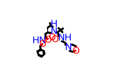 CC(C)C[C@H](CC(=O)NOCc1ccccc1)C(=O)N[C@H](C(=O)NCCCN1CCOCC1)C(C)(C)C